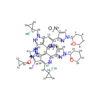 O=[N+]([O-])c1cn(C2CCCCO2)nc1-c1cc2c(c(-c3c(-c4nn(C5CCCCO5)cc4[N+](=O)[O-])nc(CC4(F)CC4)c4c(I)n[nH]c34)n1)c(N1CC(OC3CC3)C1)nn2CC1(F)CC1